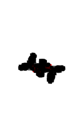 CC(C)(C)c1ccc(-c2nc(-c3ccc(-c4ccccc4-c4c5ccc(C(C)(C)C)cc5c(-c5ccccc5-c5ccc(-c6nc(-c7ccc(C(C)(C)C)cc7)nc(-c7ccc(C(C)(C)C)cc7)n6)cc5)c5ccc(C(C)(C)C)cc45)cc3)nc(-c3ccc(C(C)(C)C)cc3)n2)cc1